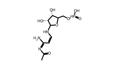 CC(=O)/N=C(N)\C=C/NC1OC(CO[PH](=O)O)[C@@H](O)[C@H]1O